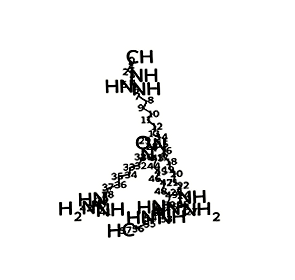 C#CCNC(=N)NCCCCCCCCN(CCCCCCCCNC(=N)N)C(=O)N(CCCCCCCCNC(=N)N)CCCCCCCCNC(=N)NCC#C